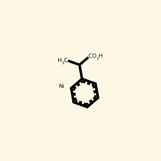 CC(C(=O)O)c1ccccc1.[Ni]